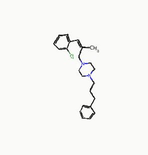 CC(=Cc1ccccc1Cl)CN1CCN(CCCc2ccccc2)CC1